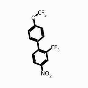 O=[N+]([O-])c1ccc(-c2ccc(OC(F)(F)F)cc2)c(C(F)(F)F)c1